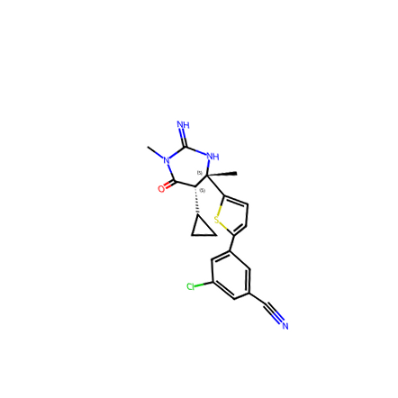 CN1C(=N)N[C@](C)(c2ccc(-c3cc(Cl)cc(C#N)c3)s2)[C@H](C2CC2)C1=O